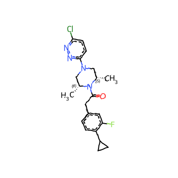 C[C@@H]1CN(c2ccc(Cl)nn2)C[C@H](C)N1C(=O)Cc1ccc(C2CC2)c(F)c1